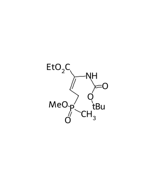 CCOC(=O)C(=CCP(C)(=O)OC)NC(=O)OC(C)(C)C